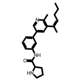 CCC/C=C(/C)c1cc(-c2cccc(NC(=O)C3CCCN3)c2)cnc1C